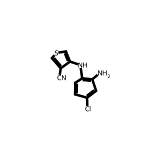 N#Cc1cscc1Nc1ccc(Cl)cc1N